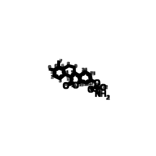 Cc1ccc2c(c1C)CCc1c-2c(=O)oc2cc(OS(N)(=O)=O)ccc12